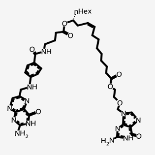 CCCCCC[C@H](C/C=C\CCCCCCCC(=O)OCCOCn1cnc2c(=O)[nH]c(N)nc21)OC(=O)CCCNC(=O)c1ccc(NCc2cnc3nc(N)[nH]c(=O)c3n2)cc1